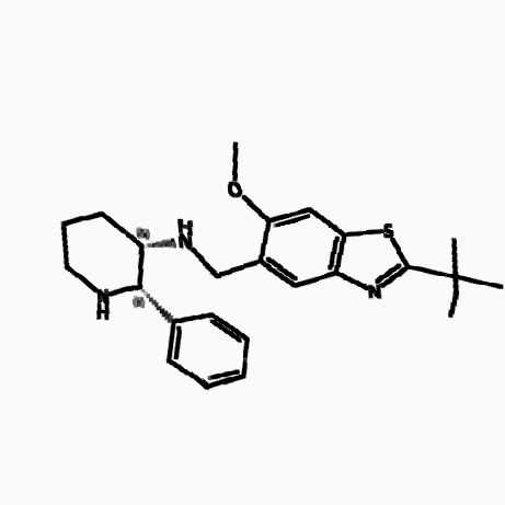 COc1cc2sc(C(C)(C)C)nc2cc1CN[C@H]1CCCN[C@H]1c1ccccc1